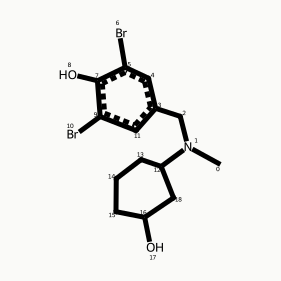 CN(Cc1cc(Br)c(O)c(Br)c1)C1CCCC(O)C1